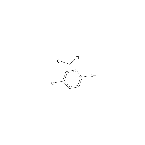 ClCCl.Oc1ccc(O)cc1